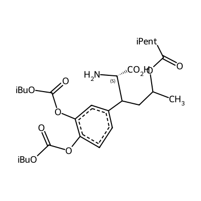 CCCC(C)C(=O)OC(C)CC(c1ccc(OC(=O)OCC(C)C)c(OC(=O)OCC(C)C)c1)[C@H](N)C(=O)O